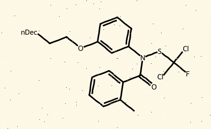 CCCCCCCCCCCCOc1cccc(N(SC(F)(Cl)Cl)C(=O)c2ccccc2C)c1